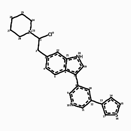 ClC(Cc1ccc2c(-c3cncc(-c4ccsc4)c3)c[nH]c2c1)N1CCCCC1